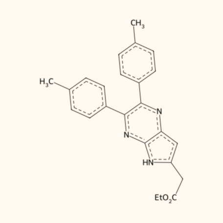 CCOC(=O)Cc1cc2nc(-c3ccc(C)cc3)c(-c3ccc(C)cc3)nc2[nH]1